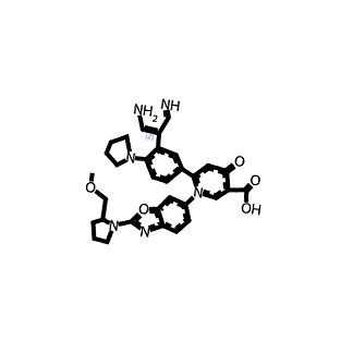 COCC1CCCN1c1nc2ccc(-n3cc(C(=O)O)c(=O)cc3-c3ccc(N4CCCC4)c(/C(C=N)=C/N)c3)cc2o1